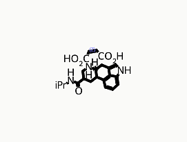 CC(C)NC(=O)C1CN[C@@H]2Cc3c[nH]c4cccc(c34)C2C1.O=C(O)/C=C\C(=O)O